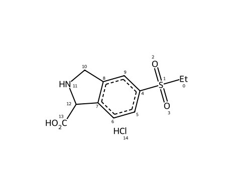 CCS(=O)(=O)c1ccc2c(c1)CNC2C(=O)O.Cl